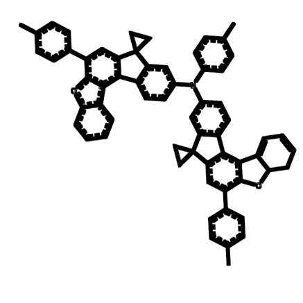 Cc1ccc(-c2cc3c(c4c2OC2CC=CC=C42)-c2ccc(N(c4ccc(C)cc4)c4ccc5c(c4)C4(CC4)c4cc(-c6ccc(C)cc6)c6oc7ccccc7c6c4-5)cc2C32CC2)cc1